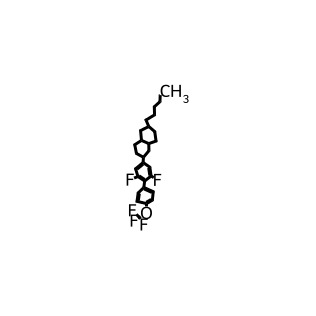 CCCCCCC1CCC2CC(c3cc(F)c(-c4ccc(OC(F)(F)F)cc4)c(F)c3)CCC2C1